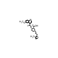 COc1ccc2nccc(C(F)CC[C@@H]3CCN(CCCc4sccc4C)C[C@@H]3C(=O)O)c2c1